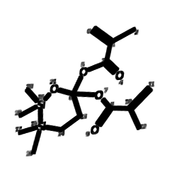 C=C(C)C(=O)OC1(OC(=O)C(=C)C)CC[Si](C)(C)[Si](C)(C)O1